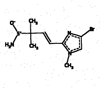 Cn1cc(Br)nc1C=CC(C)(C)[S+](N)[O-]